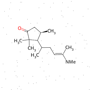 CN/C(C)=C/CC(C)C1[C@H](C)CC(=O)C1(C)C